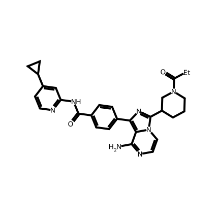 CCC(=O)N1CCCC(c2nc(-c3ccc(C(=O)Nc4cc(C5CC5)ccn4)cc3)c3c(N)nccn23)C1